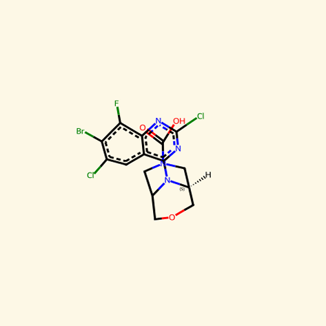 O=C(O)N1CC2COC[C@H](C1)N2c1nc(Cl)nc2c(F)c(Br)c(Cl)cc12